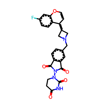 O=C1CCN(N2C(=O)c3ccc(CN4CC(=C5C=COc6cc(F)ccc65)C4)cc3C2=O)C(=O)N1